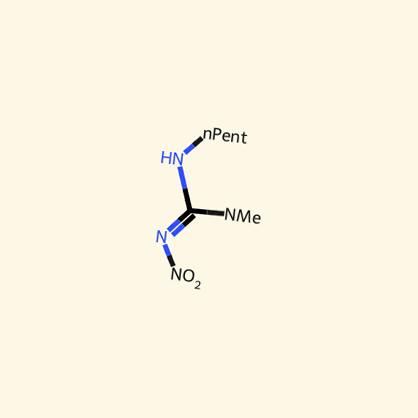 CCCCCN/C(=N/[N+](=O)[O-])NC